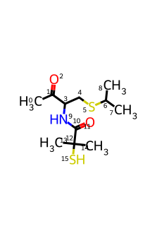 CC(=O)C(CSC(C)C)NC(=O)C(C)(C)S